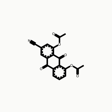 CC(=O)Oc1cccc2c1C(=O)c1c(OC(C)=O)cc(C#N)cc1C2=O